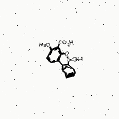 COc1ccc2c(c1C(=O)O)OB(O)C1C3C=CC(C3)C21